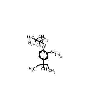 CCC(O)(CC)c1ccc(O[Si](C)(C)C(C)(C)C)c(OC)c1